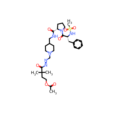 CC(=O)OCCC(C)(C)C(=O)N=NCN1CCC(CNC(=O)[C@@H]2CCCN2C(=O)[C@@H](Cc2ccccc2)NS(C)(=O)=O)CC1